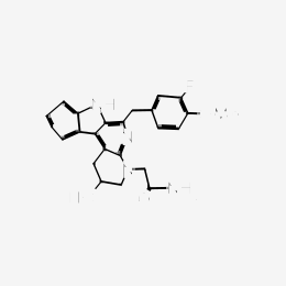 COc1ccc(Cc2nc3c(c4c2[nH]c2ccccc24)CC(O)CN3CC(N)=O)cc1F